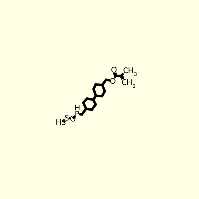 C=C(C)C(=O)OCC1CCC(C2CCC(CPOSS)CC2)CC1